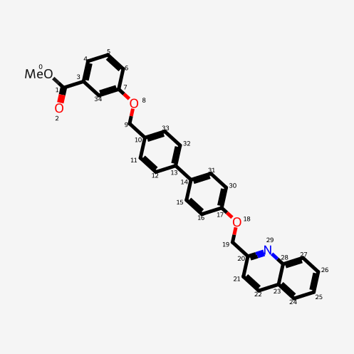 COC(=O)c1cccc(OCc2ccc(-c3ccc(OCc4ccc5ccccc5n4)cc3)cc2)c1